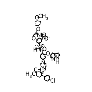 COC1CCC(OC[C@@H]2COc3cc(S(=O)(=O)NC(=O)c4ccc(N5CCN(CC6=C(c7ccc(Cl)cc7)CCC(C)(C)C6)CC5)cc4Oc4cnc5[nH]ccc5c4)cc([N+](=O)[O-])c3N2)CC1